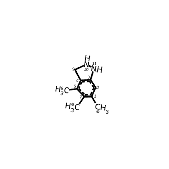 Cc1cc2c(c(C)c1C)CNN2